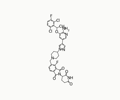 CC(Oc1cc(-c2cnn(C3CCN(Cc4ccc5c(c4F)C(=O)N(C4CCC(=O)NC4=O)C5=O)CC3)c2)cnc1N)c1c(Cl)ccc(F)c1Cl